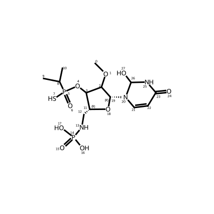 COC1C(OP(=O)(S)C(C)C)[C@@H](CNP(=O)(O)O)O[C@H]1N1C=CC(=O)NC1O